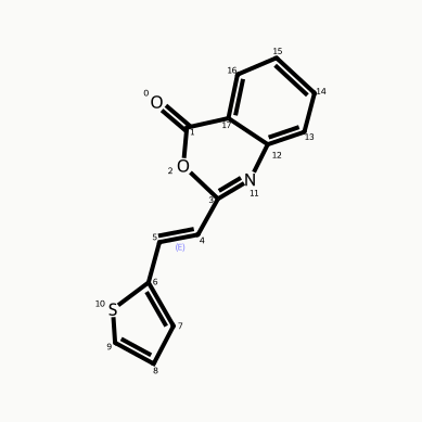 O=c1oc(/C=C/c2cccs2)nc2ccccc12